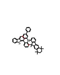 CC1(C)CCC(C)(C)c2cc3c(cc21)-c1cccc(N(c2cccc(-c4ccccc4)c2)c2ccccc2-c2cccc4c2sc2ccccc24)c1C3(C)C